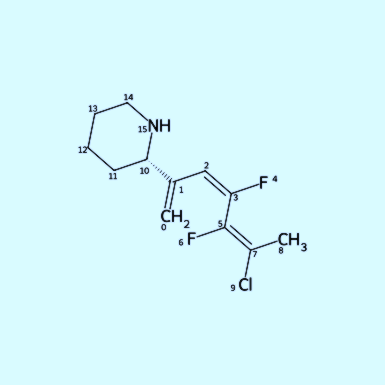 C=C(/C=C(F)\C(F)=C(/C)Cl)[C@@H]1CCCCN1